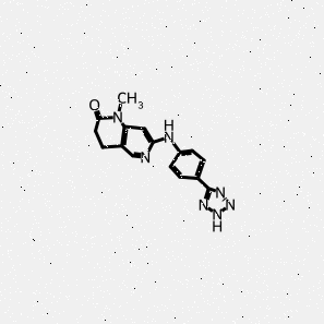 CN1C(=O)CCc2cnc(Nc3ccc(-c4nn[nH]n4)cc3)cc21